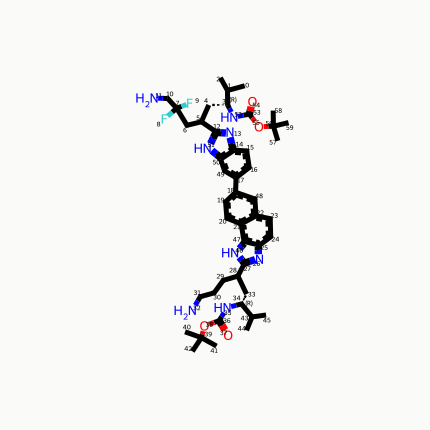 CC(C)[C@@H](CC(CC(F)(F)CN)c1nc2ccc(-c3ccc4c(ccc5nc(C(CCCN)C[C@@H](NC(=O)OC(C)(C)C)C(C)C)[nH]c54)c3)cc2[nH]1)NC(=O)OC(C)(C)C